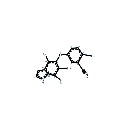 N#Cc1cc(Oc2c(F)c(F)c3[nH]ccc3c2Br)ccc1F